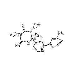 Cc1cccc(-c2cc([C@@]3(C)NC(=N)N(C)C(=O)[C@@H]3C3CC3)ccn2)c1